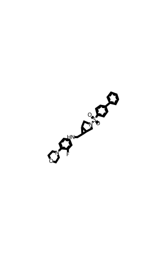 O=S(=O)(c1ccc(-c2ccccc2)cc1)N1CC2C(CNc3ccc(N4CCOCC4)c(F)c3)C2C1